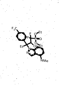 CCOP(=O)(OCC)C(F)(F)C(O)C(CC)(c1ccc(C(F)(F)F)cc1)n1ncc2c(NC)cccc21